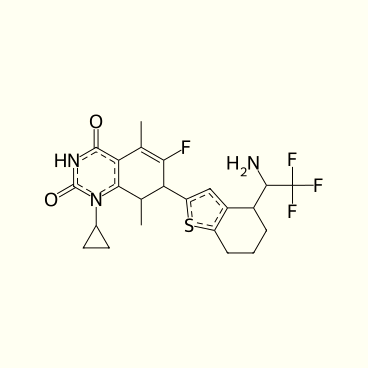 CC1=C(F)C(c2cc3c(s2)CCCC3C(N)C(F)(F)F)C(C)c2c1c(=O)[nH]c(=O)n2C1CC1